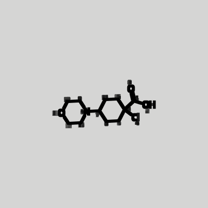 O=C(O)C1(Cl)CCC(N2CCOCC2)CC1